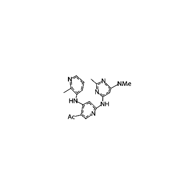 CNc1cc(Nc2cc(Nc3cccnc3C)c(C(C)=O)cn2)nc(C)n1